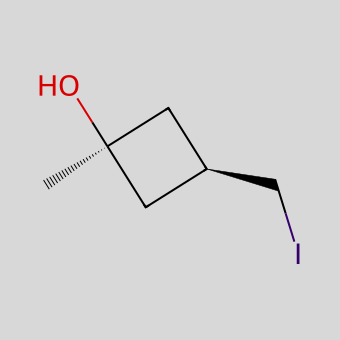 C[C@]1(O)C[C@@H](CI)C1